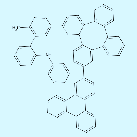 Cc1ccc(-c2ccc3c(c2)-c2ccc(-c4ccc5c6ccccc6c6ccccc6c5c4)cc2-c2ccccc2-c2ccccc2-3)cc1-c1ccccc1Nc1ccccc1